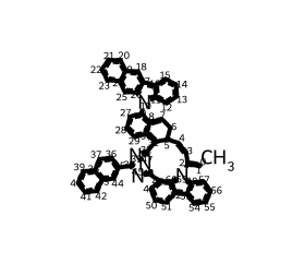 C/C=C1\C=C/C2CC=c3c(-n4c5ccccc5c5cc6ccccc6cc54)cccc3=C2c2nc(-c3ccc4ccccc4c3)nc(n2)-c2cccc3c4ccccc4n1c23